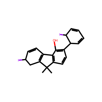 CC1(C)C2=C(C=CC(I)C2)c2c1ccc(C1C=CC=CC1I)c2O